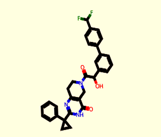 O=C(C(O)c1cccc(-c2ccc(C(F)F)cc2)c1)N1CCc2nc(C3(c4ccccc4)CC3)[nH]c(=O)c2C1